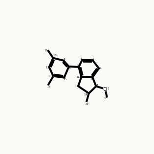 COC1c2cccc(-c3cc(C)cc(C)c3)c2CC1C